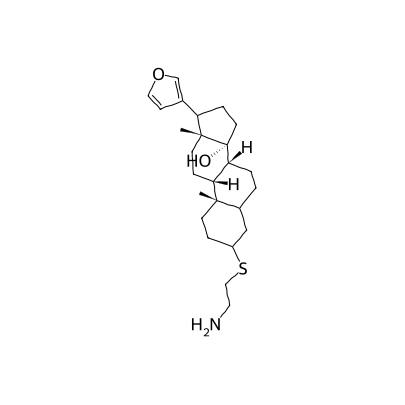 C[C@]12CCC(SCCN)CC1CC[C@@H]1[C@H]2CC[C@]2(C)C(c3ccoc3)CC[C@@]12O